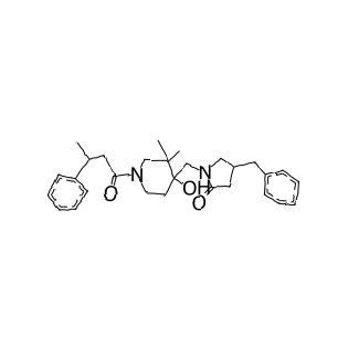 CC(CC(=O)N1CCC(O)(CN2CC(Cc3ccccc3)CC2=O)C(C)(C)C1)c1ccccc1